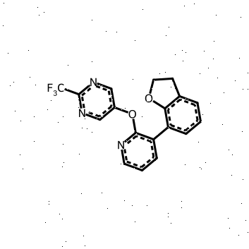 FC(F)(F)c1ncc(Oc2ncccc2-c2cccc3c2OCC3)cn1